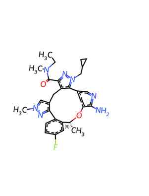 CCN(C)C(=O)c1nn(CC2CC2)c2c1Cc1cn(C)nc1-c1ccc(F)cc1[C@@H](C)Oc1cc-2cnc1N